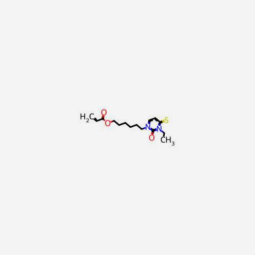 C=CC(=O)OCCCCCCn1ccc(=S)n(CC)c1=O